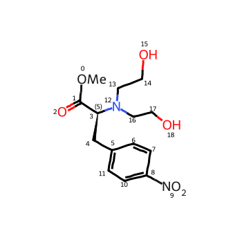 COC(=O)[C@H](Cc1ccc([N+](=O)[O-])cc1)N(CCO)CCO